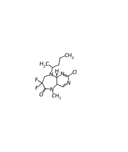 CCCC(C)N1CC(F)(F)C(=O)N(C)C2C=NC(Cl)=N[C@H]21